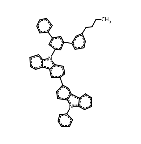 CCCCc1cccc(-c2cc(-c3ccccc3)cc(-n3c4ccccc4c4cc(-c5ccc6c(c5)c5ccccc5n6-c5ccccc5)ccc43)c2)c1